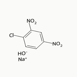 O=[N+]([O-])c1ccc(Cl)c([N+](=O)[O-])c1.[Na+].[OH-]